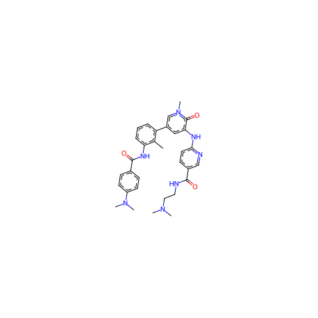 Cc1c(NC(=O)c2ccc(N(C)C)cc2)cccc1-c1cc(Nc2ccc(C(=O)NCCN(C)C)cn2)c(=O)n(C)c1